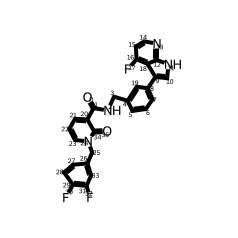 O=C(NCc1cccc(-c2c[nH]c3nccc(F)c23)c1)c1cccn(Cc2ccc(F)c(F)c2)c1=O